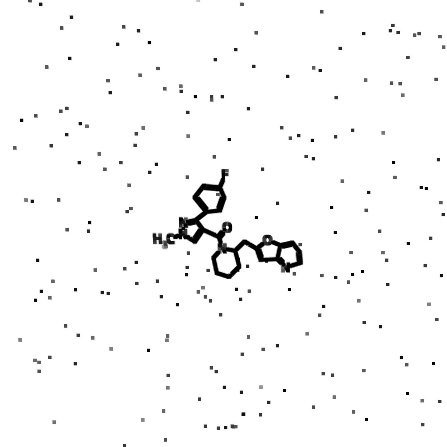 Cn1cc(C(=O)N2CCCCC2Cc2cc3ncccc3o2)c(-c2ccc(F)cc2)n1